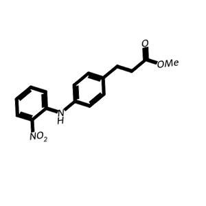 COC(=O)CCc1ccc(Nc2ccccc2[N+](=O)[O-])cc1